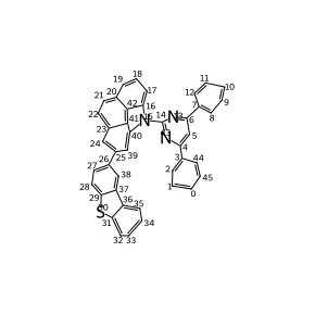 c1ccc(-c2cc(-c3ccccc3)nc(-n3c4cccc5ccc6cc(-c7ccc8sc9ccccc9c8c7)cc3c6c54)n2)cc1